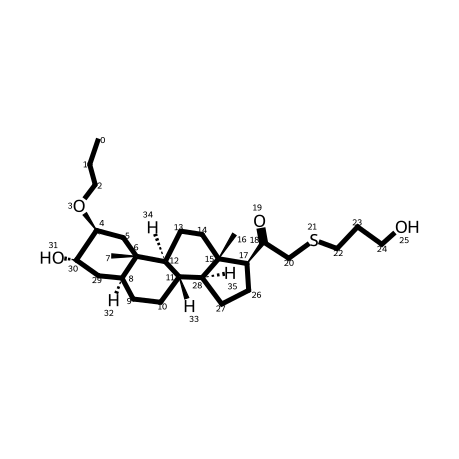 CCCO[C@H]1C[C@@]2(C)[C@@H](CC[C@@H]3[C@@H]2CC[C@]2(C)[C@@H](C(=O)CSCCCO)CC[C@@H]32)C[C@@H]1O